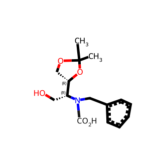 CC1(C)OC[C@@H]([C@@H](CO)N(Cc2ccccc2)C(=O)O)O1